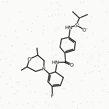 CC1CN(C2=CC(F)=CCC2NC(=O)C2=CC=C(N[S+]([O-])C(C)C)CC2)CC(C)O1